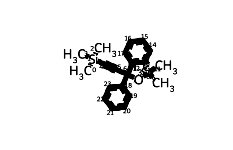 C[Si](C)(C)C#CC(O[Si](C)(C)C)(c1ccccc1)c1ccccc1